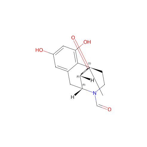 O=CN1CC[C@]23CC(=O)CC[C@H]2[C@H]1Cc1cc(O)cc(O)c13